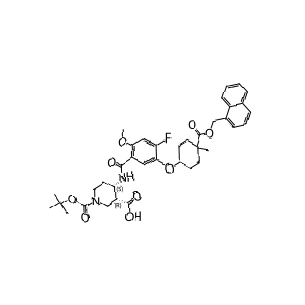 COc1cc(F)c(OC2CCC(C)(C(=O)OCc3cccc4ccccc34)CC2)cc1C(=O)N[C@H]1CCN(C(=O)OC(C)(C)C)C[C@H]1C(=O)O